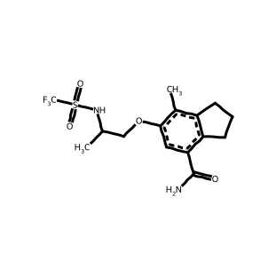 Cc1c(OCC(C)NS(=O)(=O)C(F)(F)F)cc(C(N)=O)c2c1CCC2